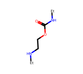 CCNCCOC(=O)NCC